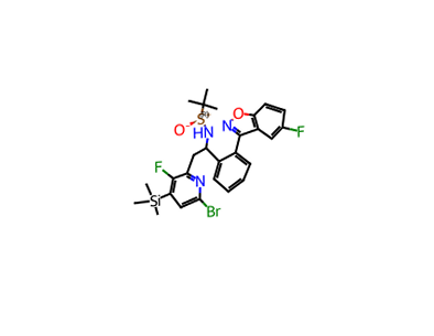 CC(C)(C)[S@+]([O-])NC(Cc1nc(Br)cc([Si](C)(C)C)c1F)c1ccccc1-c1noc2ccc(F)cc12